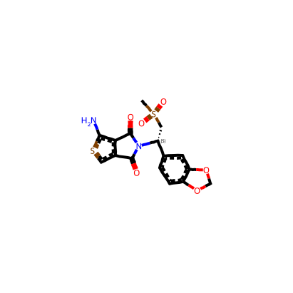 CS(=O)(=O)C[C@H](c1ccc2c(c1)OCO2)N1C(=O)c2csc(N)c2C1=O